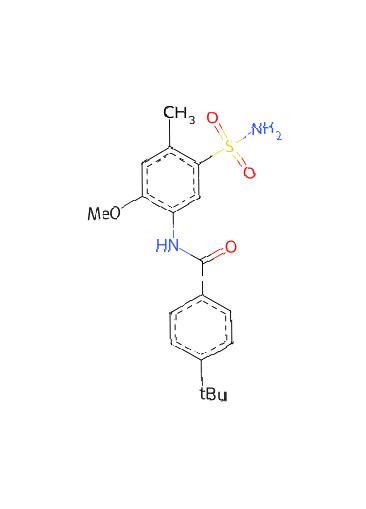 COc1cc(C)c(S(N)(=O)=O)cc1NC(=O)c1ccc(C(C)(C)C)cc1